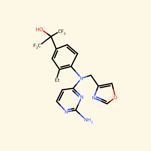 CCc1cc(C(O)(C(F)(F)F)C(F)(F)F)ccc1N(Cc1cocn1)c1ccnc(N)n1